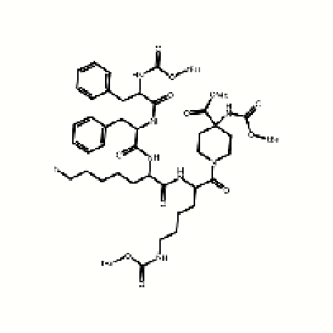 COC(=O)C1(NC(=O)OC(C)(C)C)CCN(C(=O)C(CCCCNC(=O)OC(C)(C)C)NC(=O)C(CCCCCF)NC(=O)C(Cc2ccccc2)NC(=O)C(Cc2ccccc2)NC(=O)OC(C)(C)C)CC1